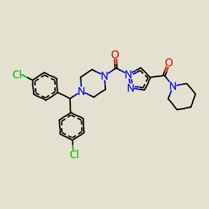 O=C(c1cnn(C(=O)N2CCN(C(c3ccc(Cl)cc3)c3ccc(Cl)cc3)CC2)c1)N1CCCCC1